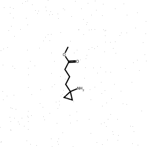 COC(=O)CCCC1(N)CC1